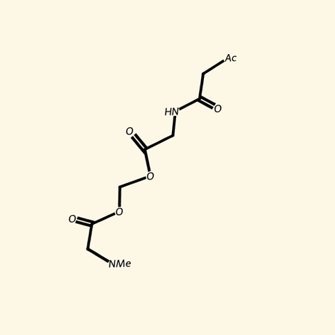 CNCC(=O)OCOC(=O)CNC(=O)CC(C)=O